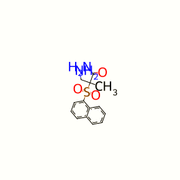 CC(CN)(C(N)=O)S(=O)(=O)c1cccc2ccccc12